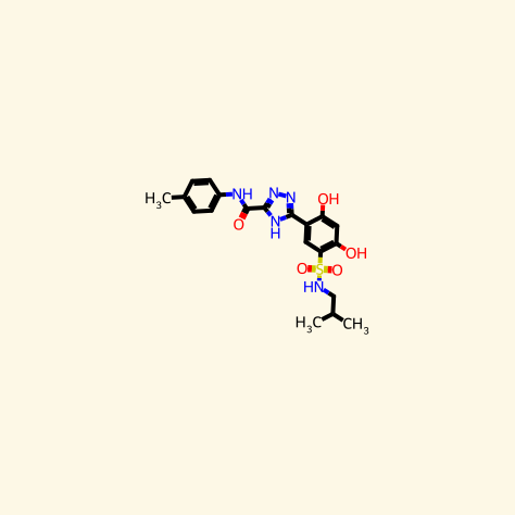 Cc1ccc(NC(=O)c2nnc(-c3cc(S(=O)(=O)NCC(C)C)c(O)cc3O)[nH]2)cc1